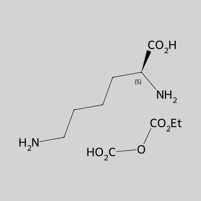 CCOC(=O)OC(=O)O.NCCCC[C@H](N)C(=O)O